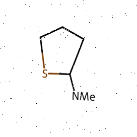 CNC1CCCS1